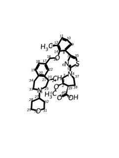 CO[C@H]1CN(c2nc(-c3cccc(C)c3OCc3ccc4c(c3)[C@@H](C)CN(C3CCOCC3)CC4)cs2)CC[C@H]1C(=O)O